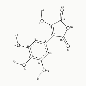 COC1=C(c2cc(OC)c(OC)c(OC)c2)C(=O)OC1=O